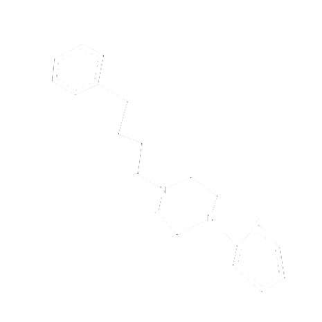 [c]1ccc(N2CCN(CCCCc3ccccc3)CC2)cc1